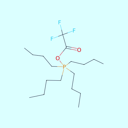 CCCCP(CCCC)(CCCC)(CCCC)OC(=O)C(F)(F)F